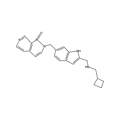 O=c1c2cnccc2ccn1Cc1ccc2cc(CNCC3CCC3)[nH]c2c1